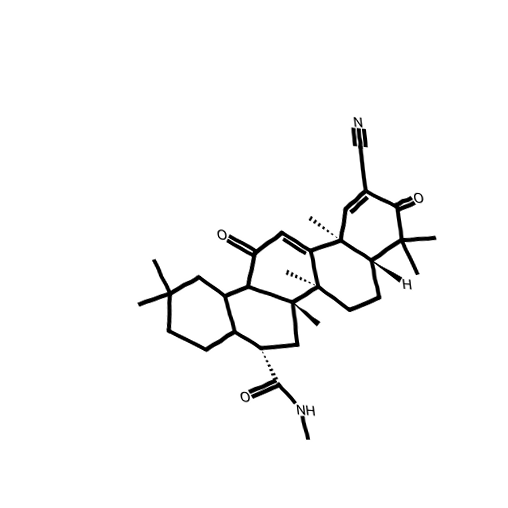 CNC(=O)[C@H]1C[C@]2(C)C(C(=O)C=C3[C@@]4(C)C=C(C#N)C(=O)C(C)(C)[C@@H]4CC[C@]32C)C2CC(C)(C)CCC21